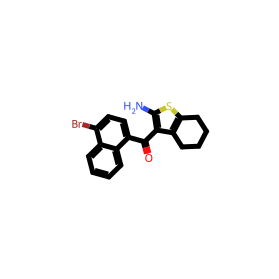 Nc1sc2c(c1C(=O)c1ccc(Br)c3ccccc13)CCCC2